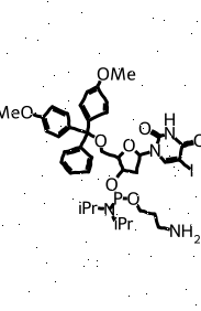 COc1ccc(C(OCC2OC(n3cc(I)c(=O)[nH]c3=O)CC2OP(OCCCN)N(C(C)C)C(C)C)(c2ccccc2)c2ccc(OC)cc2)cc1